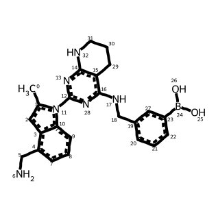 Cc1cc2c(CN)cccc2n1-c1nc2c(c(NCc3cccc(B(O)O)c3)n1)CCCN2